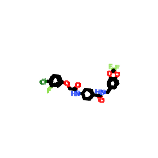 O=C(COc1ccc(Cl)c(F)c1)NC1CCC(C(=O)NCc2ccc3c(c2)OC(F)(F)O3)CC1